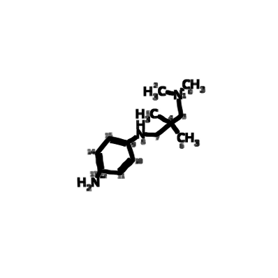 CN(C)CC(C)(C)CNc1ccc(N)cc1